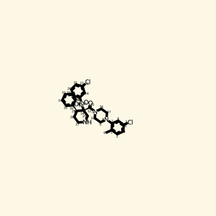 Cc1ccc(Cl)cc1N1CCN(C(=O)[C@@]2(S(=O)(=O)c3cccc(Cl)c3)CNCC[C@H]2c2ccccc2)CC1